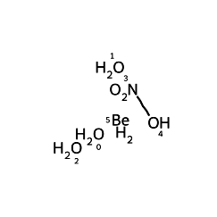 O.O.O.O=[N+]([O-])O.[BeH2]